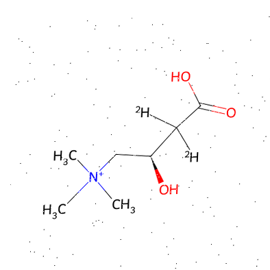 [2H]C([2H])(C(=O)O)[C@@H](O)C[N+](C)(C)C